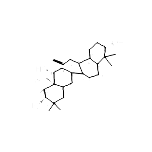 C=CCC1[C@@]2(C)CC[C@H](O)C(C)(C)C2CC[C@@]1(C)[C@@]1(C)CC2CC(C)(C)[C@@H](O)[C@H](C)[C@]2(C)[C@H](O)C1